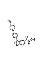 O=C(NO)c1ccc2noc(-c3ccc(N4CCN(C5CC5)CC4)cc3)c2c1